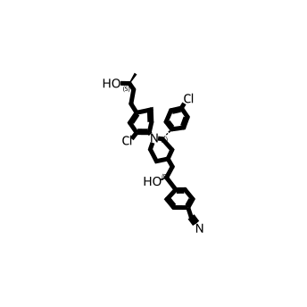 C[C@H](O)CCc1ccc(N2CCC(C[C@@H](O)c3ccc(C#N)cc3)C[C@H]2c2ccc(Cl)cc2)c(Cl)c1